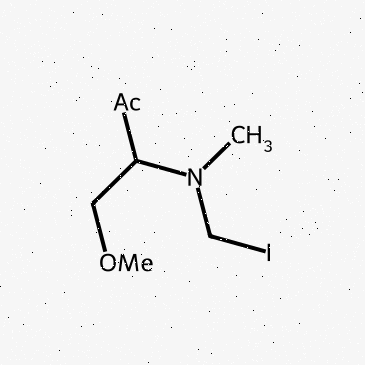 COCC(C(C)=O)N(C)CI